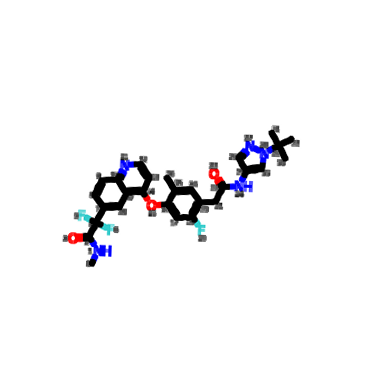 CNC(=O)C(F)(F)c1ccc2nccc(Oc3cc(F)c(CC(=O)Nc4cnn(C(C)(C)C)c4)cc3C)c2c1